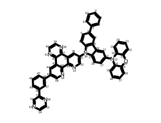 c1ccc(-c2ccc3c(c2)c2cc(N4c5ccccc5Oc5ccccc54)ccc2n3-c2cnc3c(c2)c2nccnc2c2cc(-c4cccc(-c5cnccn5)c4)cnc23)cc1